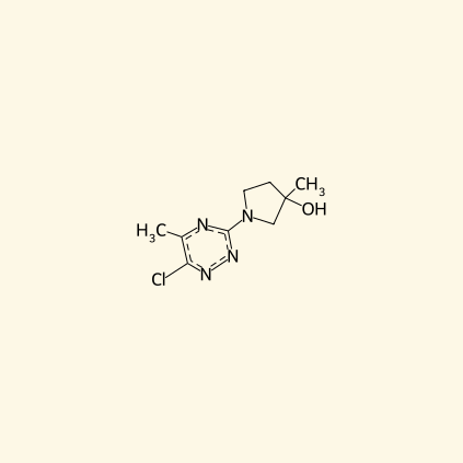 Cc1nc(N2CCC(C)(O)C2)nnc1Cl